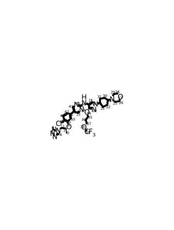 C[C@@H](Cn1cnnn1)Oc1cc(-c2cnc(Nc3cn(C4CCC(N5CCOCC5)CC4)nc3OCCCOC(F)(F)F)nc2)ccc1Cl